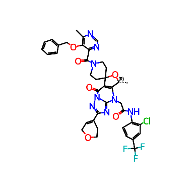 Cc1ncnc(C(=O)N2CCC3(CC2)O[C@H](C)c2c3c(=O)n3nc(C4=CCOCC4)nc3n2CC(=O)Nc2ccc(C(F)(F)F)cc2Cl)c1OCc1ccccc1